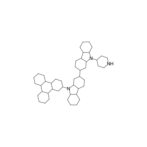 C1CCC2C(C1)C1CCCCC1C1CC(N3C4CCCCC4C4CCC(C5CCC6C7CCCCC7N(C7CCNCC7)C6C5)CC43)CCC21